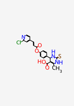 CC1=C(C(=O)O)C(c2ccc(OC(=O)C=Cc3ccnc(Cl)c3)cc2)NC(=S)N1